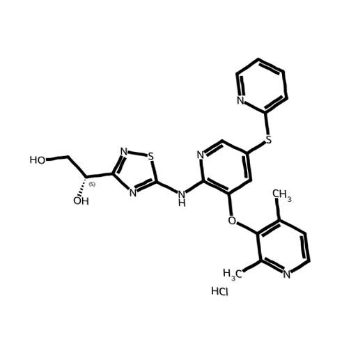 Cc1ccnc(C)c1Oc1cc(Sc2ccccn2)cnc1Nc1nc([C@H](O)CO)ns1.Cl